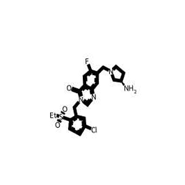 CCS(=O)(=O)c1ccc(Cl)cc1Cn1cnc2cc(CN3CC[C@@H](N)C3)c(F)cc2c1=O